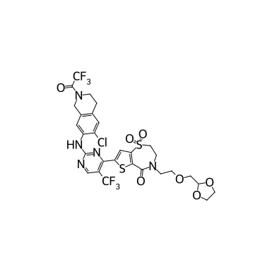 O=C1c2sc(-c3nc(Nc4cc5c(cc4Cl)CCN(C(=O)C(F)(F)F)C5)ncc3C(F)(F)F)cc2S(=O)(=O)CCN1CCOCC1OCCO1